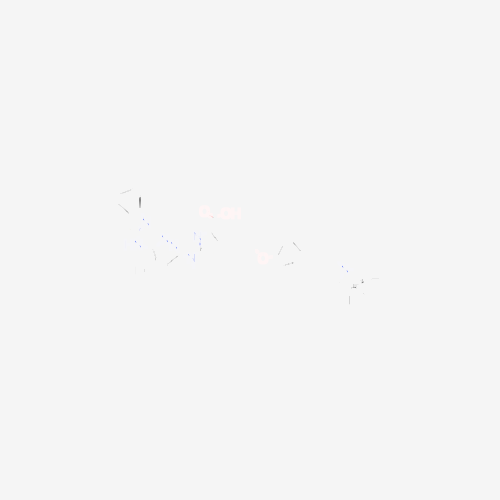 Cc1c(Nc2nc3ccccc3s2)nnc2c1CCCN2c1nc(C(=O)O)c(CCCOc2ccc(CCCN3C[C@@H]4[C@H](C3)C4(F)F)cc2F)s1